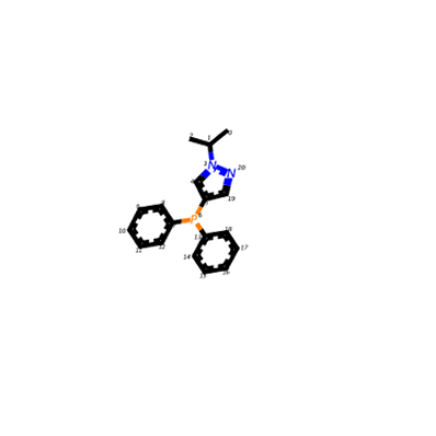 CC(C)n1cc(P(c2ccccc2)c2ccccc2)cn1